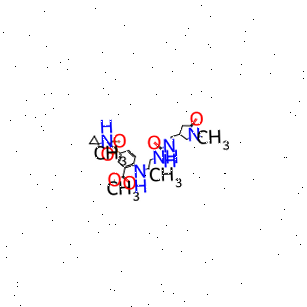 COC(=O)c1cc(S(=O)(=O)NC2(C)CC2)ccc1NC(C)CNC(=O)NCC1CC(=O)N(C)C1